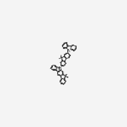 CC1(C)c2cc(-n3c4ccccc4c4ccccc43)ccc2-c2ccc(-n3c4ccccc4c4cc5c(cc43)C(C)(C)c3ccccc3-5)cc21